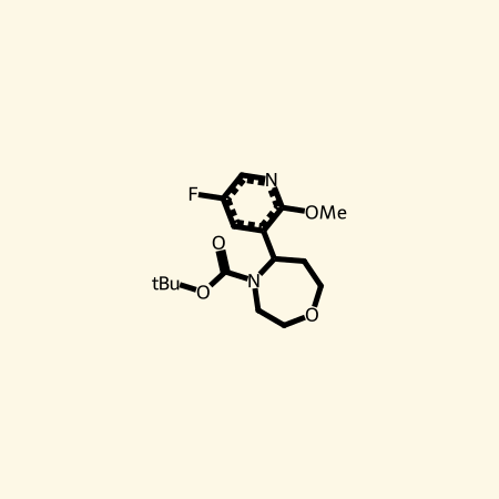 COc1ncc(F)cc1C1CCOCCN1C(=O)OC(C)(C)C